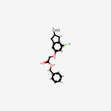 O=CC1Cc2cc(OCC(=O)OCc3ccccc3)cc(F)c2C1